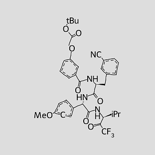 COc1ccc([C@H](NC(=O)[C@H](Cc2cccc(C#N)c2)NC(=O)c2cccc(OCC(=O)OC(C)(C)C)c2)C(=O)N[C@H](C(=O)C(F)(F)F)C(C)C)cc1